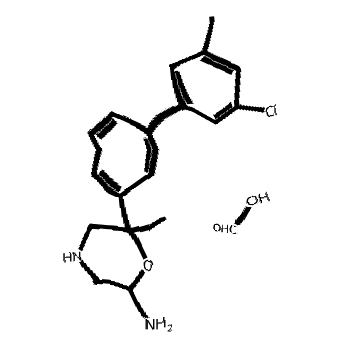 Cc1cc(Cl)cc(-c2cccc(C3(C)CNCC(N)O3)c2)c1.O=CO